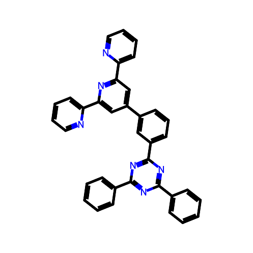 c1ccc(-c2nc(-c3ccccc3)nc(-c3cccc(-c4cc(-c5ccccn5)nc(-c5ccccn5)c4)c3)n2)cc1